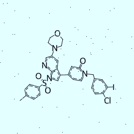 Cc1ccc(S(=O)(=O)n2cc(-c3ccn(Cc4ccc(Cl)c(I)c4)c(=O)c3)c3cc(N4CCOCC4)cnc32)cc1